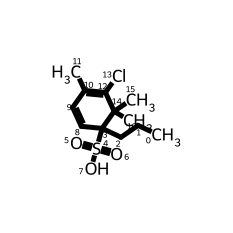 CCCC1(S(=O)(=O)O)C=CC(C)=C(Cl)C1(C)C